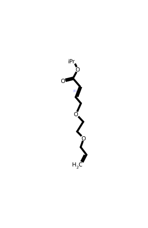 C=CCOCCOC/C=C/C(=O)OC(C)C